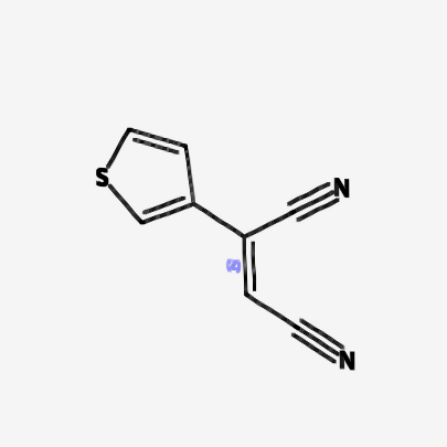 N#C/C=C(\C#N)c1ccsc1